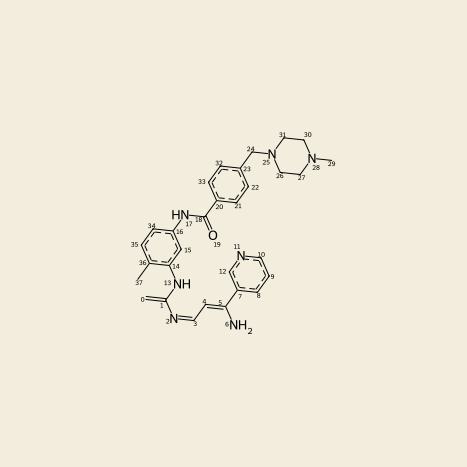 C=C(/N=C\C=C(/N)c1cccnc1)Nc1cc(NC(=O)c2ccc(CN3CCN(C)CC3)cc2)ccc1C